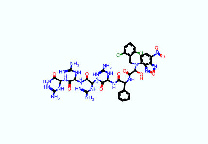 N=C(N)NC(NC(=O)C(NC(=N)N)NC(=O)C(NC(=N)N)NC(=O)C(NC(=N)N)NC(=O)C(NC(=O)C(O)N(Cc1c(Cl)cccc1Cl)c1ccc([N+](=O)[O-])c2nonc12)c1ccccc1)C(N)=O